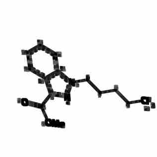 COC(=O)c1nn(CCCCC(F)(F)F)c2ccccc12